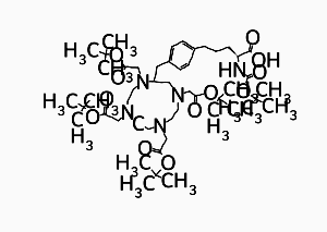 CC(C)(C)OC(=O)CN1CCN(CC(=O)OC(C)(C)C)CCN(CC(=O)OC(C)(C)C)C(Cc2ccc(CCC[C@H](NC(=O)OC(C)(C)C)C(=O)O)cc2)CN(CC(=O)OC(C)(C)C)CC1